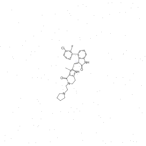 Cc1c(/C=C2\C(=O)Nc3cccc(-c4cccc(Cl)c4F)c32)[nH]c2c1C(=O)N(CCN1CCCC1)CC2